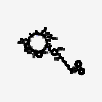 C=CC[C@@H]1/C=C(\C)C[C@H](C)C[C@H](OC)C2O[C@](O)([C@H](C)C[C@@H]2OC)[C@H](O)[C@@H](O)N2CCCC[C@H]2[C@H](O)O[C@H](/C(C)=C/[C@@H]2CC[C@@H](O[C@H](O)CCCCCCC(=O)O[Si](c3ccccc3)(c3ccccc3)C(C)(C)C)[C@H](OC)C2)[C@H](C)[C@@H](O[Si](C)(C)C(C)(C)C)C[C@H]1O